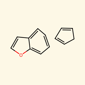 C1=CCC=C1.c1ccc2occc2c1